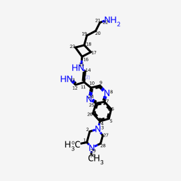 CC1CN(c2ccc3ncc(/C(C=N)=C/NC4CC(CCCN)C4)nc3c2)CCN1C